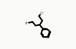 ClCCC(CCBr)c1ccccc1